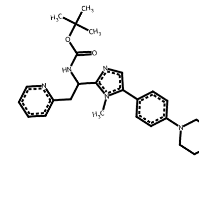 Cn1c(-c2ccc(N3CCOCC3)cc2)cnc1C(Cc1ccccn1)NC(=O)OC(C)(C)C